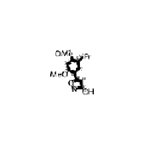 COc1cc(OC)c(C(C)C)cc1-c1cc(O)no1